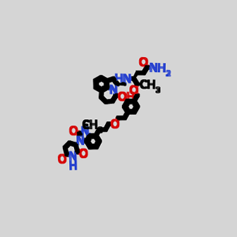 C[C@@H](OCc1ccc(CCOCCCc2cccc3c2n(C)c(=O)n3C2CCC(=O)NC2=O)cc1)[C@H](CCC(N)=O)NC[C@@H]1Cc2cccc3c2N1C(O)CCC3